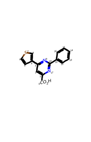 O=C(O)c1cc(-c2ccsc2)nc(-c2ccccc2)n1